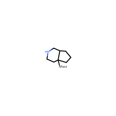 CCCCCC12CCCC1CNCC2